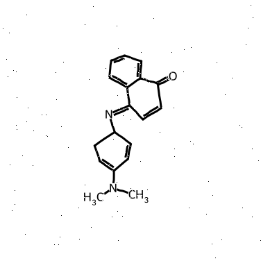 CN(C)C1=CCC(N=C2C=CC(=O)c3ccccc32)C=C1